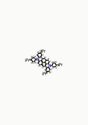 CC(C)c1ccc(N(C2=CC=C3C=CC4=C5C(=CC=C2C35)CC=C4N(c2ccc(C(C)C)cc2)c2ccc(C(C)C)cc2)c2ccc(C(C)C)cc2)cc1